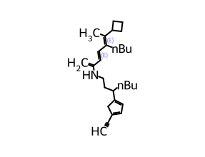 C#CC1=CC=C(C(CCCC)CCNC(=C)/C=C/C(CCCC)=C(\C)C2CCC2)C1